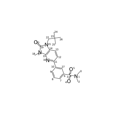 CN(C)S(=O)(=O)c1cccc(-c2ccc3c(n2)n(C)c(=O)n3CC(C)(C)C)c1